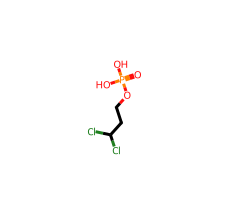 O=P(O)(O)OCCC(Cl)Cl